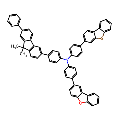 CC1(C)c2ccc(-c3ccc(N(c4ccc(-c5ccc6c(c5)sc5ccccc56)cc4)c4ccc(-c5ccc6oc7ccccc7c6c5)cc4)cc3)cc2-c2ccc(-c3ccccc3)cc21